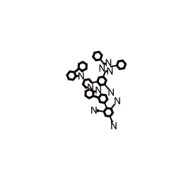 N#Cc1cc(C#N)c(-c2ccc3c(c2)c2ccccc2n3-c2c(C#N)cc(-c3nc(-c4ccccc4)nc(-c4ccccc4)n3)cc2-c2cc(-n3c4ccccc4c4ccccc43)ccn2)c(C#N)c1